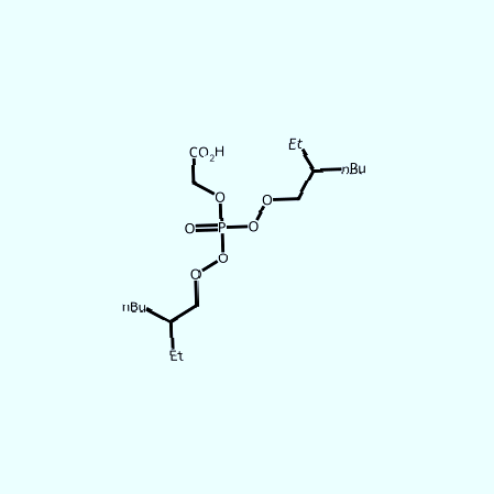 CCCCC(CC)COOP(=O)(OCC(=O)O)OOCC(CC)CCCC